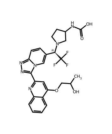 CC(O)COc1cc(-c2nnc3ccc([C@@H](N4CCC(NC(=O)O)C4)C(F)(F)F)cn23)nc2ccccc12